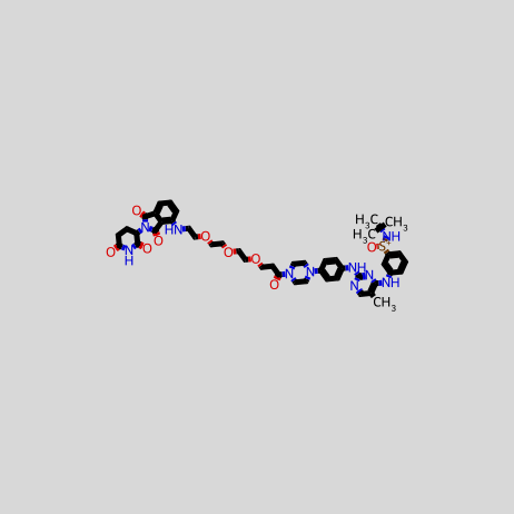 Cc1cnc(Nc2ccc(N3CCN(C(=O)CCOCCOCCOCCNc4cccc5c4C(=O)N(C4CCC(=O)NC4=O)C5=O)CC3)cc2)nc1Nc1cccc([S+]([O-])NC(C)(C)C)c1